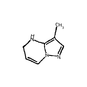 Cc1cnn2c1NCC=C2